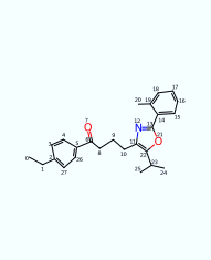 CCc1ccc(C(=O)CCCc2nc(-c3ccccc3C)oc2C(C)C)cc1